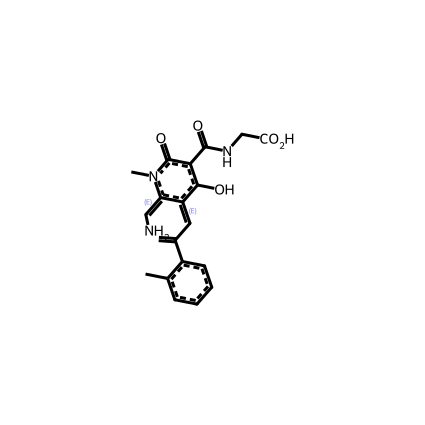 C=C(/C=c1/c(O)c(C(=O)NCC(=O)O)c(=O)n(C)/c1=C/N)c1ccccc1C